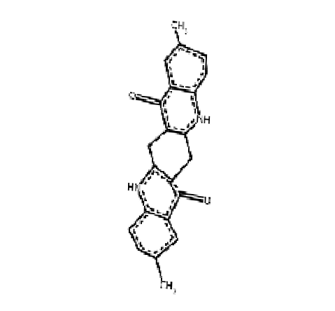 Cc1ccc2[nH]c3c(c(=O)c2c1)Cc1[nH]c2ccc(C)cc2c(=O)c1C3